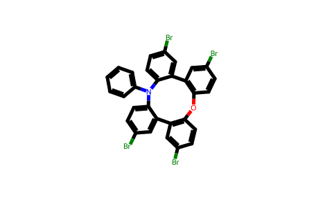 Brc1ccc2c(c1)-c1cc(Br)ccc1N(c1ccccc1)c1ccc(Br)cc1-c1cc(Br)ccc1O2